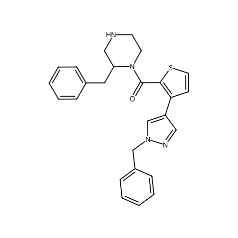 O=C(c1sccc1-c1cnn(Cc2ccccc2)c1)N1CCNCC1Cc1ccccc1